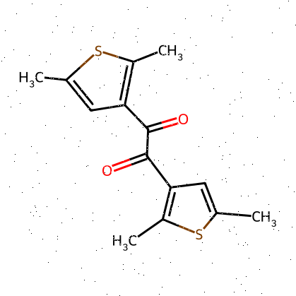 Cc1cc(C(=O)C(=O)c2cc(C)sc2C)c(C)s1